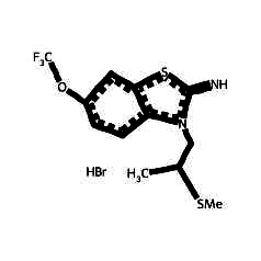 Br.CSC(C)Cn1c(=N)sc2cc(OC(F)(F)F)ccc21